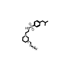 CC(C)Cc1ccc(S(=O)(=O)NCCN2CCC[C@H](CN=[N+]=[N-])C2)cc1